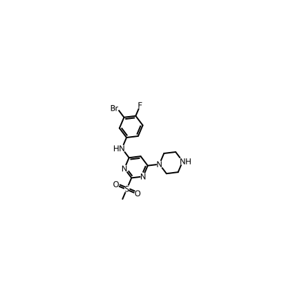 CS(=O)(=O)c1nc(Nc2ccc(F)c(Br)c2)cc(N2CCNCC2)n1